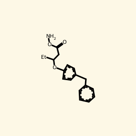 CCC(CC(=O)ON)Oc1ccc(Cc2ccccc2)cc1